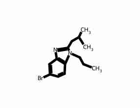 CCCn1c(CC(C)C)nc2cc(Br)ccc21